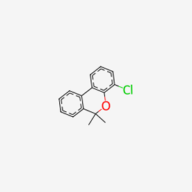 CC1(C)Oc2c(Cl)cccc2-c2ccccc21